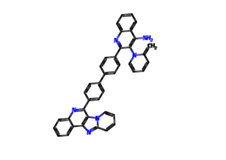 C=C1C=CC=CN1c1c(-c2ccc(-c3ccc(-c4nc5ccccc5c5nc6ccccn6c45)cc3)cc2)nc2ccccc2c1N